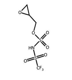 O=S(=O)(NS(=O)(=O)C(F)(F)F)OCC1CO1